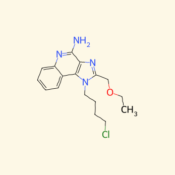 CCOCc1nc2c(N)nc3ccccc3c2n1CCCCCl